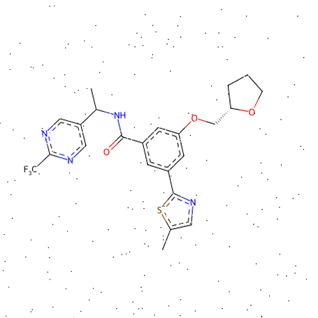 Cc1cnc(-c2cc(OC[C@@H]3CCCO3)cc(C(=O)NC(C)c3cnc(C(F)(F)F)nc3)c2)s1